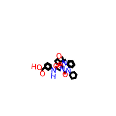 CC(C=O)(C1CCCC1)N1C(=O)N(CC(=O)Nc2cccc(C(=O)O)c2)C(=O)N(C2CCCCC2)c2ccccc21